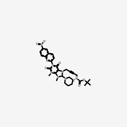 CC#CCN1c2c(n(C)c(=O)n(-c3ccc4cc([N+](=O)[O-])ccc4n3)c2=O)N(C)C1N1CCC[C@@H](NC(=O)OC(C)(C)C)C1